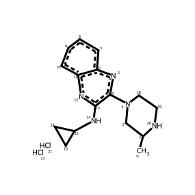 CC1CN(c2nc3ccccc3nc2NC2CC2)CCN1.Cl.Cl